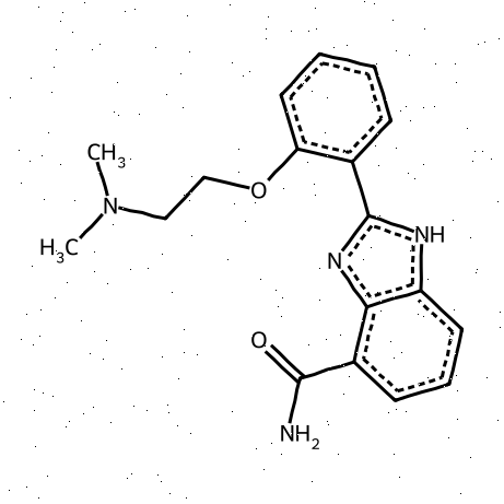 CN(C)CCOc1ccccc1-c1nc2c(C(N)=O)cccc2[nH]1